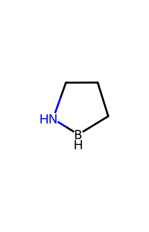 B1CCCN1